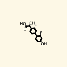 CC(C(=O)O)c1ccc(-c2ccc(O)cc2F)cc1